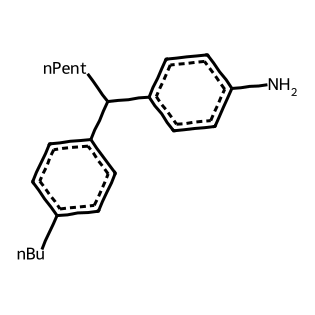 CCCCCC(c1ccc(N)cc1)c1ccc(CCCC)cc1